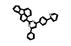 c1ccc(-c2cc(-c3ccc(-c4ccccn4)cc3)nc(-c3ccc4c5c(cccc35)-c3ccccc3-4)n2)cc1